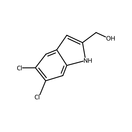 OCc1cc2cc(Cl)c(Cl)cc2[nH]1